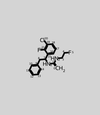 C=C(NCCF)NC(Cc1ccccc1)c1cccc(Cl)c1F